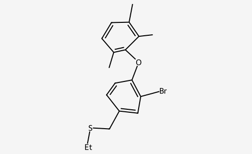 CCSCc1ccc(Oc2c(C)ccc(C)c2C)c(Br)c1